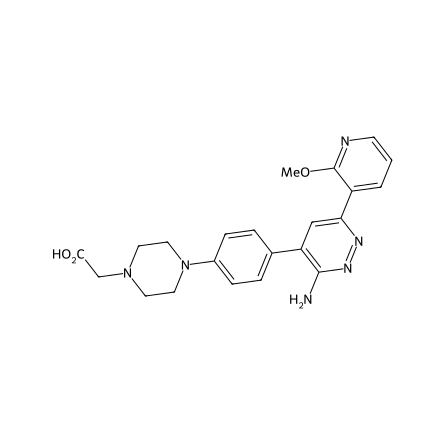 COc1ncccc1-c1cc(-c2ccc(N3CCN(CC(=O)O)CC3)cc2)c(N)nn1